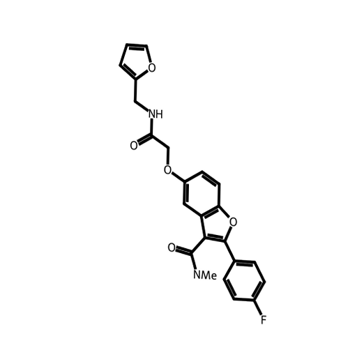 CNC(=O)c1c(-c2ccc(F)cc2)oc2ccc(OCC(=O)NCc3ccco3)cc12